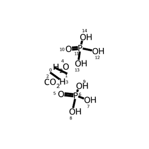 CC.CC(=O)O.O.O=P(O)(O)O.O=P(O)(O)O